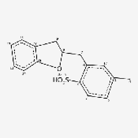 Cc1ccc(S(=O)(=O)O)c(CC2Cc3ccccc3O2)c1